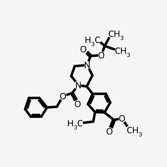 CCc1cc(C2CN(C(=O)OC(C)(C)C)CCN2C(=O)OCc2ccccc2)ccc1C(=O)OC